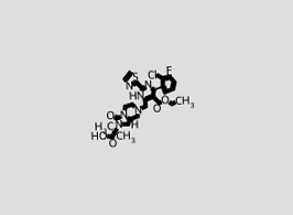 CCOC(=O)C1=C(CN2CCN3C(=O)N(C(C)(C)C(=O)O)C[C@@H]3C2)NC(c2nccs2)=N[C@H]1c1cccc(F)c1Cl